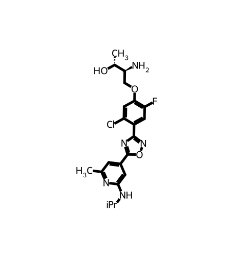 Cc1cc(-c2nc(-c3cc(F)c(OC[C@H](N)[C@@H](C)O)cc3Cl)no2)cc(NC(C)C)n1